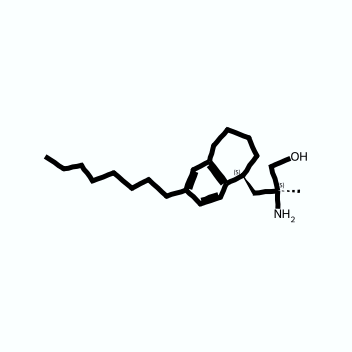 CCCCCCCCc1ccc2c(c1)CCCC[C@H]2C[C@](C)(N)CO